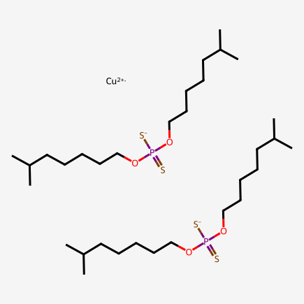 CC(C)CCCCCOP(=S)([S-])OCCCCCC(C)C.CC(C)CCCCCOP(=S)([S-])OCCCCCC(C)C.[Cu+2]